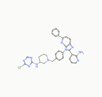 Nc1ncccc1-c1nc2ccc(-c3ccccc3)nc2n1-c1ccc(CN2CCCC(Nc3ncnc(Cl)n3)C2)cc1